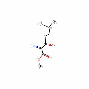 COC(=O)C(=N)C(=O)CCC(C)C